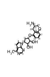 Cc1ncnc2c1ccn2[C@@H]1C[C@H](Oc2cccc3c2C[C@@H](N)CO3)[C@@H](O)[C@H]1O